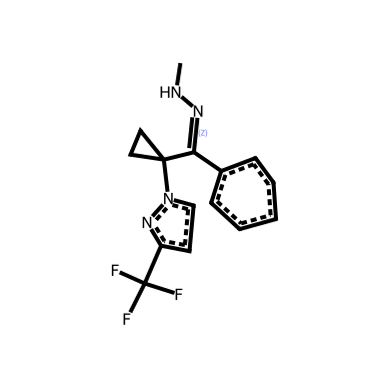 CN/N=C(/c1ccccc1)C1(n2ccc(C(F)(F)F)n2)CC1